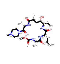 CCC[C@H](NC(=O)[C@H](C)C[C@H](O)[C@H](CC(C)C)NC(=O)[C@H](CCSC)NC(=O)[C@@H](NC(=O)OC(C)(C)C)C(C)C)C(=O)N1CCN(C)CC1